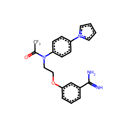 N=C(N)c1cccc(OCCN(C(=O)C(F)(F)F)c2ccc(-n3cccc3)cc2)c1